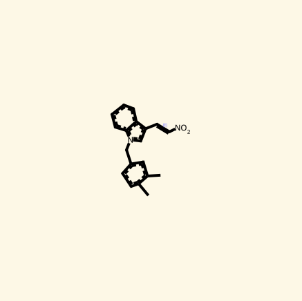 Cc1ccc(Cn2cc(/C=C/[N+](=O)[O-])c3ccccc32)cc1C